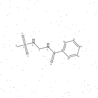 CS(=O)(=O)NCNC(=O)c1ccccc1